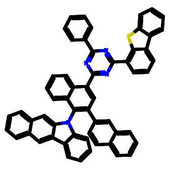 c1ccc(-c2nc(-c3cc(-c4ccc5ccccc5c4)c(-n4c5ccccc5c5cc6ccccc6cc54)c4ccccc34)nc(-c3cccc4c3sc3ccccc34)n2)cc1